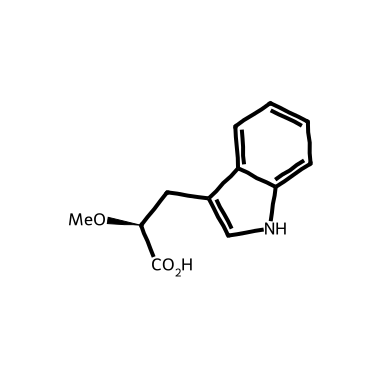 CO[C@@H](Cc1c[nH]c2ccccc12)C(=O)O